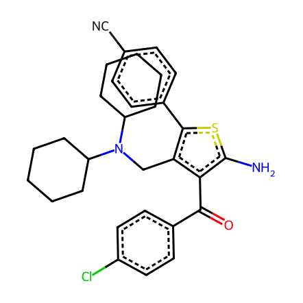 N#Cc1ccc(-c2sc(N)c(C(=O)c3ccc(Cl)cc3)c2CN(C2CCCCC2)C2CCCCC2)cc1